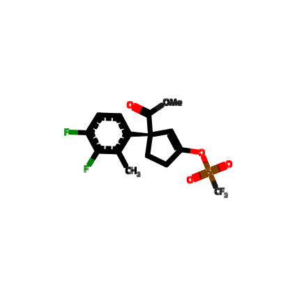 COC(=O)[C@]1(c2ccc(F)c(F)c2C)C=C(OS(=O)(=O)C(F)(F)F)CC1